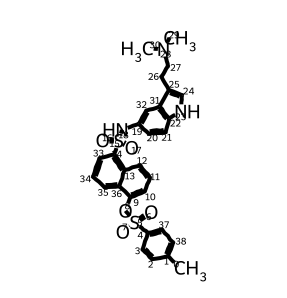 Cc1ccc(S(=O)(=O)Oc2cccc3c(S(=O)(=O)Nc4ccc5[nH]cc(CCN(C)C)c5c4)cccc23)cc1